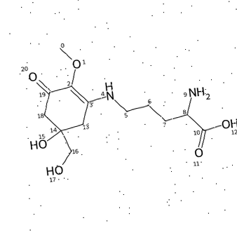 COC1=C(NCCCC(N)C(=O)O)CC(O)(CO)CC1=O